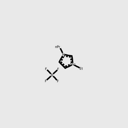 CCCn1cc[n+](CC)c1.F[B-](F)(F)F